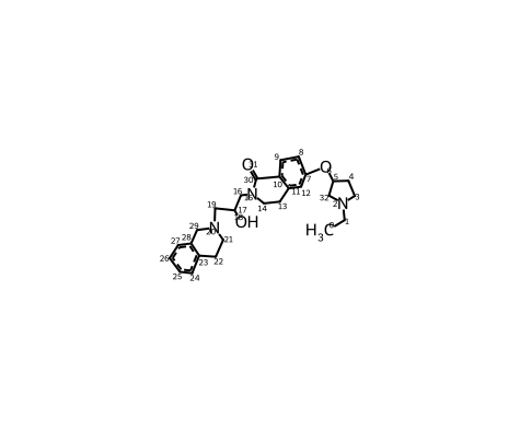 CCN1CCC(Oc2ccc3c(c2)CCN(CC(O)CN2CCc4ccccc4C2)C3=O)C1